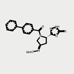 CO/N=C1/C[C@@H](c2n[nH]c(=S)o2)N(C(=O)c2ccc(-c3ccccc3)cc2)C1